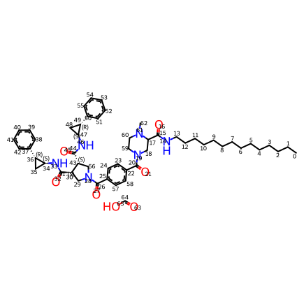 CCCCCCCCCCCCCCNC(=O)C1CN(C(=O)c2ccc(C(=O)N3C[C@@H](C(=O)N[C@H]4C[C@@H]4c4ccccc4)[C@H](C(=O)N[C@H]4C[C@@H]4c4ccccc4)C3)cc2)CCN1C.O=CO